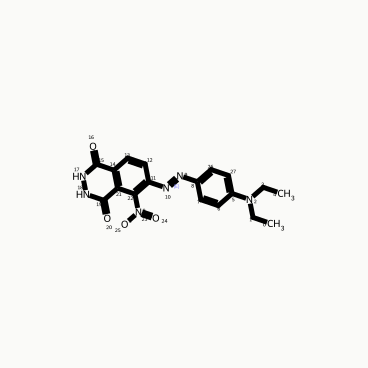 CCN(CC)c1ccc(/N=N/c2ccc3c(=O)[nH][nH]c(=O)c3c2[N+](=O)[O-])cc1